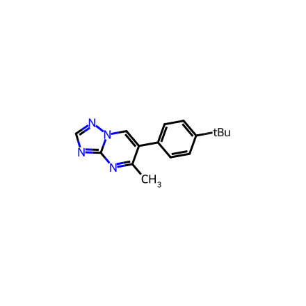 Cc1nc2ncnn2cc1-c1ccc(C(C)(C)C)cc1